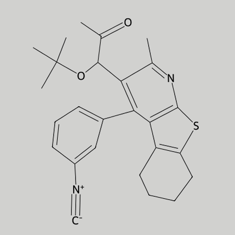 [C-]#[N+]c1cccc(-c2c(C(OC(C)(C)C)C(C)=O)c(C)nc3sc4c(c23)CCCC4)c1